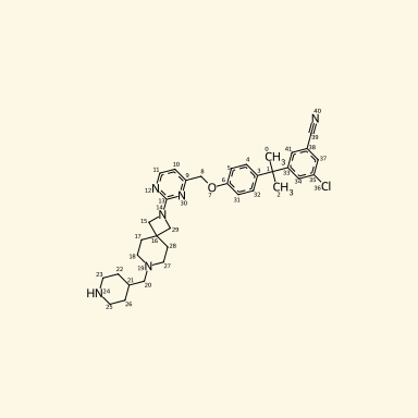 CC(C)(c1ccc(OCc2ccnc(N3CC4(CCN(CC5CCNCC5)CC4)C3)n2)cc1)c1cc(Cl)cc(C#N)c1